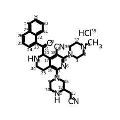 CN1CCN(c2nc(N3CCNC(CC#N)C3)c3c(c2C#N)C(C(=O)c2cccc4ccccc24)NCC3)CC1.Cl